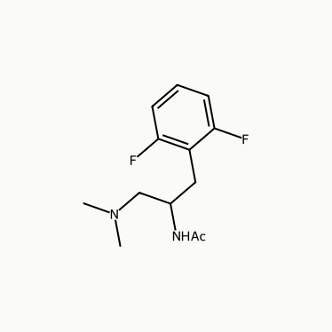 CC(=O)NC(Cc1c(F)cccc1F)CN(C)C